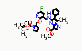 COC(=O)c1cnn2c(C)c(-c3ccccc3)c(NCc3cc(F)cnc3OCC3CCCN3C(=O)OC(C)(C)C)nc12